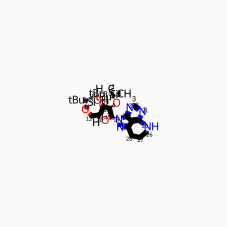 CC(C)(C)[Si](C)(C)O[C@@H]1[C@@H]2O[Si](C(C)(C)C)(C(C)(C)C)OC[C@H]2O[C@H]1n1nc2c3c(ncnc31)NCCC2